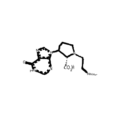 CC(=O)NCCN1CCC(n2cnc3c(=O)[nH]cnc32)[C@H]1C(=O)O